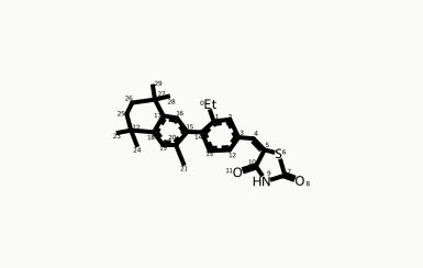 CCc1cc(C=C2SC(=O)NC2=O)ccc1-c1cc2c(cc1C)C(C)(C)CCC2(C)C